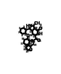 Cc1[nH]c(-c2ccccc2Oc2ccccc2)c2cc(C(=O)NCc3ccco3)[nH]c(=O)c12